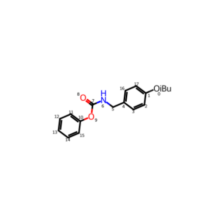 CC(C)COc1ccc(CNC(=O)Oc2ccccc2)cc1